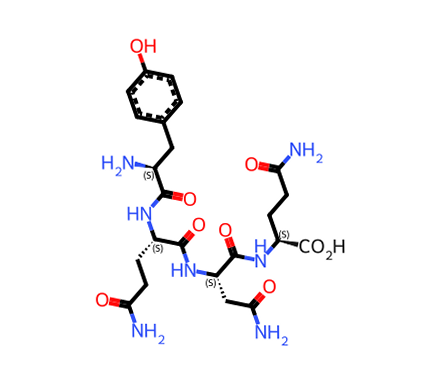 NC(=O)CC[C@H](NC(=O)[C@H](CC(N)=O)NC(=O)[C@H](CCC(N)=O)NC(=O)[C@@H](N)Cc1ccc(O)cc1)C(=O)O